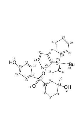 CC1(O)CCCN(S(=O)(=O)c2ccc(O)cc2)C1CO[Si](c1ccccc1)(c1ccccc1)C(C)(C)C